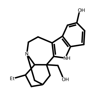 CCC1CC2CN3CCc4c([nH]c5ccc(O)cc45)C(CO)(C2)C13